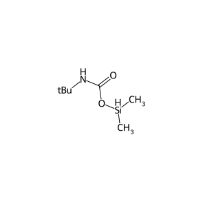 C[SiH](C)OC(=O)NC(C)(C)C